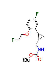 CC(C)(C)OC(=O)NCC1CC1c1cc(F)ccc1OCCF